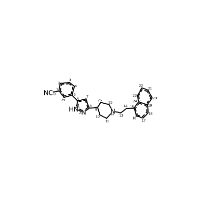 N#Cc1cccc(-c2cc(C3CCN(CCc4cccc5ccccc45)CC3)n[nH]2)c1